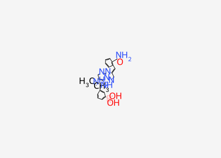 CN(C)c1cnc(-n2c(CN)cc3c(C(N)=O)cccc32)nc1NCc1cccc(B(O)O)c1